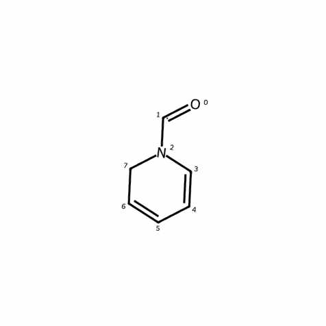 O=[C]N1C=CC=CC1